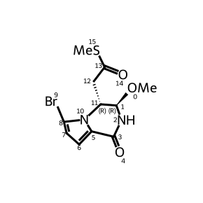 CO[C@H]1NC(=O)c2ccc(Br)n2[C@@H]1CC(=O)SC